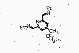 CCN=Cc1cc(C)cc(C=NCC)n1.[Cl-].[Cl-].[V+2]